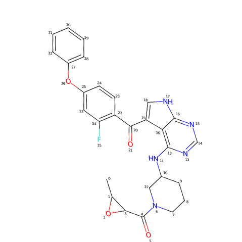 CC1OC1C(=O)N1CCCC(Nc2ncnc3[nH]cc(C(=O)c4ccc(Oc5ccccc5)cc4F)c23)C1